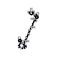 C=C1S/C(C)=C(/C)C/C(c2ccc(Cl)cc2)=N\[C@@H](CC(=O)NCCOCCOCCOCCNCCCCCC(=O)Nc2cccc(C=O)c2CN(C)C2CCC(=O)NC2=O)c2nnc(C)n21